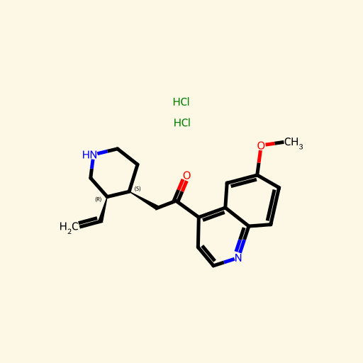 C=C[C@H]1CNCC[C@H]1CC(=O)c1ccnc2ccc(OC)cc12.Cl.Cl